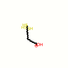 O=C(O)CCCCCCC/C=C\CCCCCCCCC(S)C(S)CS